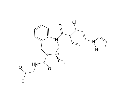 C[C@@H]1CN(C(=O)c2ccc(-n3cccn3)cc2Cl)c2ccccc2CN1C(=O)NCC(=O)O